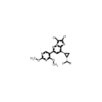 COc1ncc(-c2cc([C@H]3C[C@@H]3C(F)F)c3nc(Cl)c(Cl)n3n2)c(OC)n1